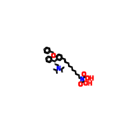 CC(C)N(CC[C@H](c1ccccc1)c1cc(C=CCCCCCCCCN(C(=O)O)C(=O)O)ccc1OCc1ccccc1)C(C)C